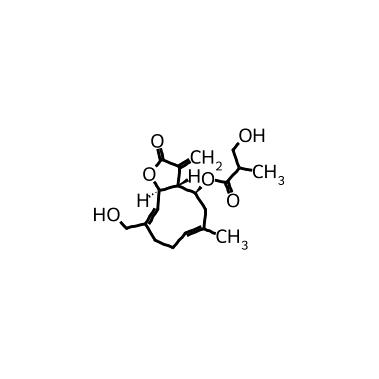 C=C1C(=O)O[C@@H]2/C=C(\CO)CC/C=C(\C)C[C@H](OC(=O)C(C)CO)[C@@H]12